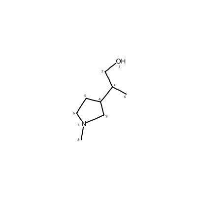 CC(CO)C1CCN(C)C1